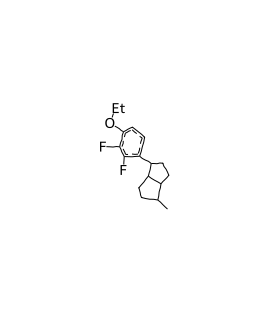 CCOc1ccc(C2CCC3C(C)CCC23)c(F)c1F